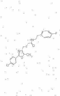 CCc1ccc(-c2nc(CSCC(=O)NCCc3ccc(F)cc3)c(C)o2)cc1